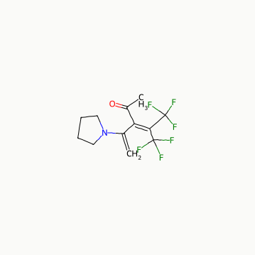 C=C(C(C(C)=O)=C(C(F)(F)F)C(F)(F)F)N1CCCC1